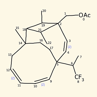 CC(=O)OCC12/C=C\C3(C(C)C(F)(F)F)/C=C\C=C/CC(C)(CC3)C(C1C)C2C